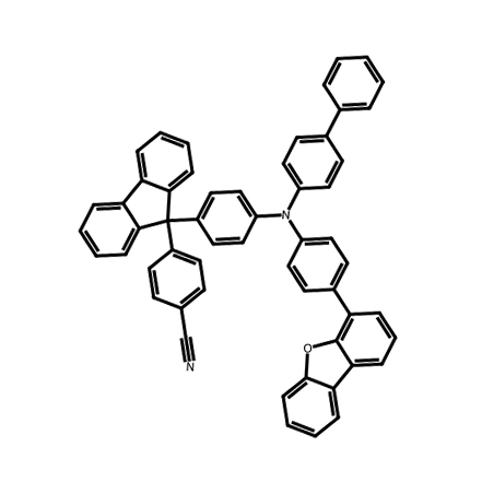 N#Cc1ccc(C2(c3ccc(N(c4ccc(-c5ccccc5)cc4)c4ccc(-c5cccc6c5oc5ccccc56)cc4)cc3)c3ccccc3-c3ccccc32)cc1